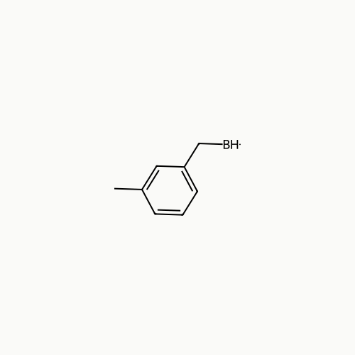 [BH]Cc1cccc(C)c1